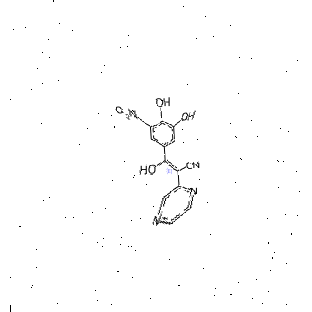 N#C/C(=C(/O)c1cc(O)c(O)c([N+](=O)[O-])c1)c1cnccn1